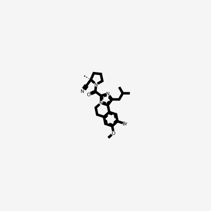 COc1cc2c(cc1Br)-c1c(CC(C)C)nc(C(=O)N3CCC[C@]3(C)C#N)n1CC2